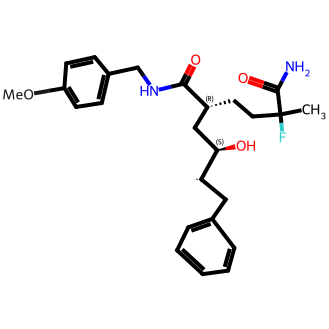 COc1ccc(CNC(=O)[C@H](CCC(C)(F)C(N)=O)C[C@@H](O)[CH]Cc2ccccc2)cc1